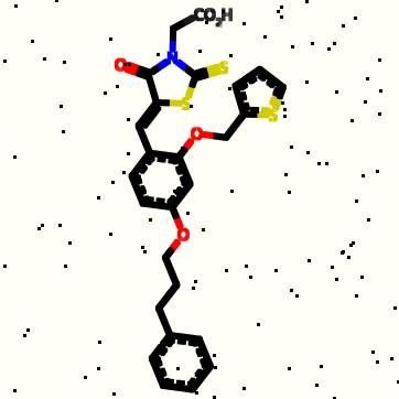 O=C(O)CN1C(=O)C(=Cc2ccc(OCCCc3ccccc3)cc2OCc2cccs2)SC1=S